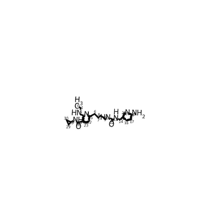 CCNc1nc(CCCCNC(=O)NCc2ccc(N)nc2)ccc1C(=O)NC1CC1